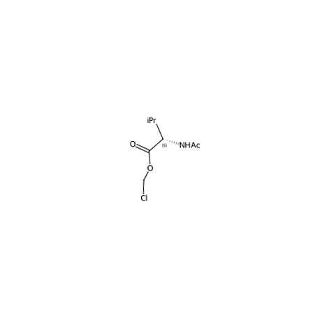 CC(=O)N[C@H](C(=O)OCCl)C(C)C